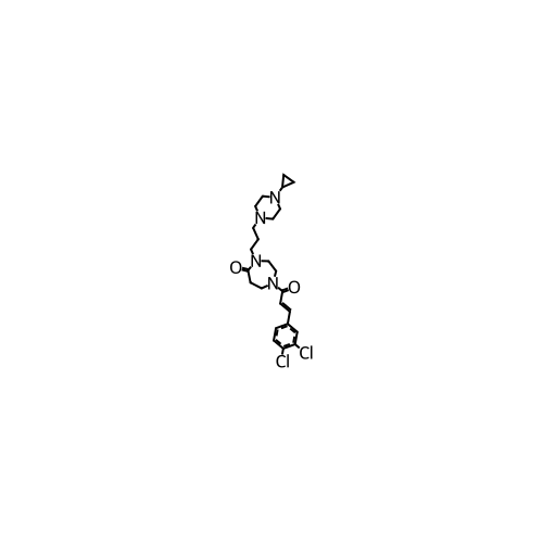 O=C(C=Cc1ccc(Cl)c(Cl)c1)N1CCC(=O)N(CCCN2CCN(C3CC3)CC2)CC1